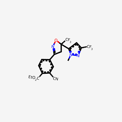 CCOC(=O)c1ccc(C2=NOC(c3cc(C(F)(F)F)nn3C)(C(F)(F)F)C2)cc1C#N